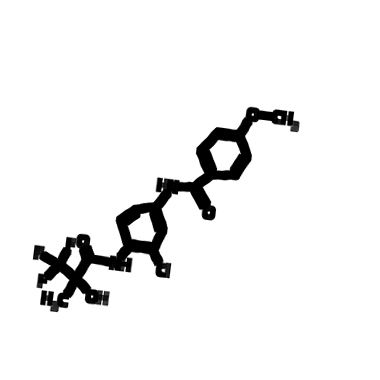 COc1ccc(C(=O)Nc2ccc(NC(=O)C(C)(O)C(F)(F)F)c(Cl)c2)cc1